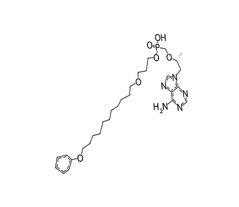 C[C@H](Cn1cnc2c(N)ncnc21)OCP(=O)(O)OCCCOCCCCCCCCCCCOc1ccccc1